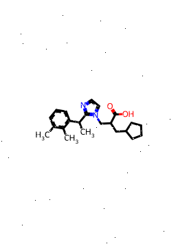 Cc1cccc(C(C)c2nccn2CC(CC2CCCC2)C(=O)O)c1C